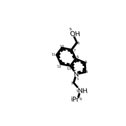 CC(C)NCn1ccc2c(CO)cccc21